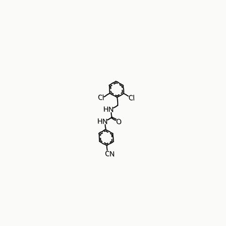 N#Cc1ccc(NC(=O)NCc2c(Cl)cccc2Cl)cc1